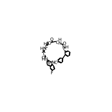 C[C@@H]1CNC(C)(C)CC(=O)N[C@@H]2CCc3cc(F)ccc3N(Cc3ccc(cc3)-c3ccccc3CNC(=O)NCCC(=O)O1)C2=O